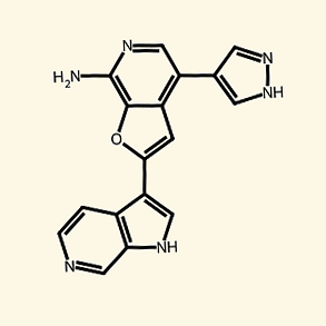 Nc1ncc(-c2cn[nH]c2)c2cc(-c3c[nH]c4cnccc34)oc12